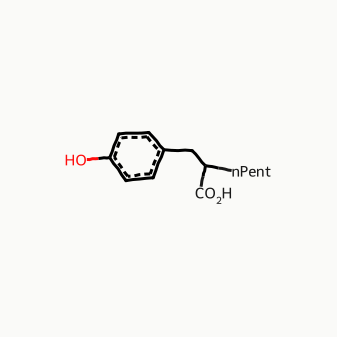 CCCCCC(Cc1ccc(O)cc1)C(=O)O